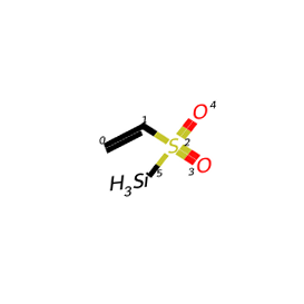 C=CS(=O)(=O)[SiH3]